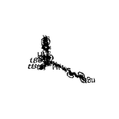 CC(C)(C)OC(=O)CCC(=O)SCCNCCCNC[C@H](OC(=O)[C@H](Cc1ccc2c(c1)OC(C)(C)O2)NC(=O)OC(C)(C)C)C(C)(C)CO[Si](C)(C)C(C)(C)C